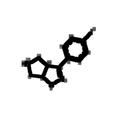 Ic1ccc(C2=NOC3CNCC23)cc1